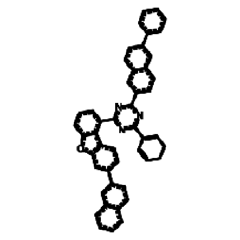 C1=CC(c2nc(-c3ccc4cc(-c5ccccc5)ccc4c3)nc(-c3cccc4oc5cc(-c6ccc7ccccc7c6)ccc5c34)n2)=CCC1